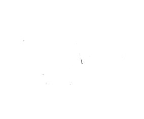 CC(C)(C)[Si](C)(C)OC1C(O[Si](C)(C)C(C)(C)C)[C@H]2OC(CC=O)CC[C@@H]2O[C@H]1[C@H](/C=C/I)O[Si](C)(C)C(C)(C)C